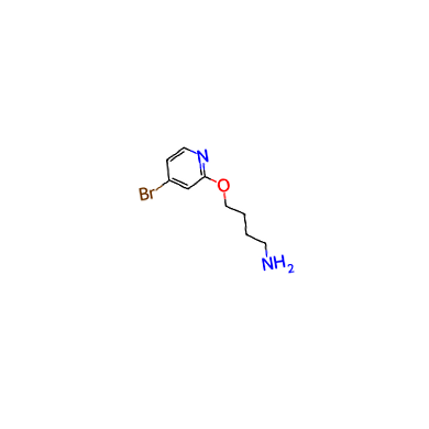 NCCCCOc1cc(Br)ccn1